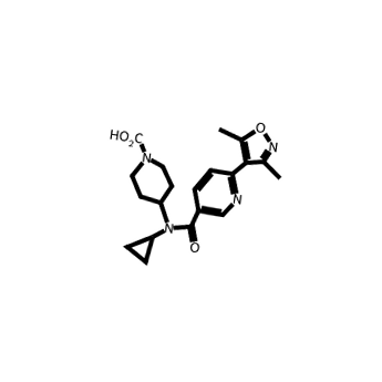 Cc1noc(C)c1-c1ccc(C(=O)N(C2CC2)C2CCN(C(=O)O)CC2)cn1